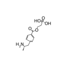 C[C@@H](N)Cc1ccc(C(=O)OCCP(=O)(O)O)cc1